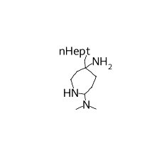 CCCCCCCCC1(N)CCNC(N(C)C)CC1